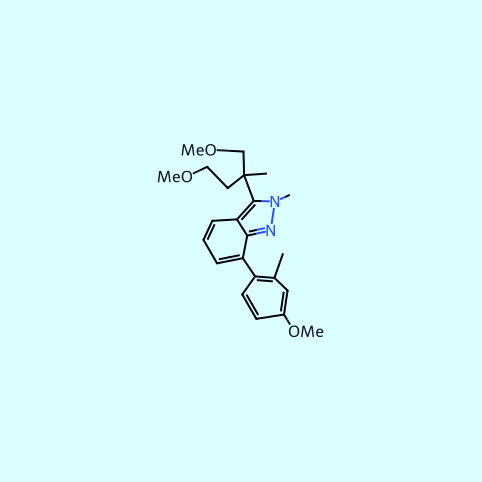 COCCC(C)(COC)c1c2cccc(-c3ccc(OC)cc3C)c2nn1C